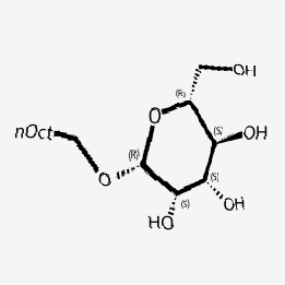 CCCCCCCCCO[C@@H]1O[C@H](CO)[C@@H](O)[C@H](O)[C@@H]1O